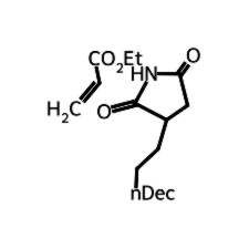 C=CC(=O)OCC.CCCCCCCCCCCCC1CC(=O)NC1=O